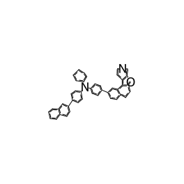 c1ccc(N(c2ccc(-c3ccc4ccccc4c3)cc2)c2ccc(-c3ccc4ccc5oc6cnccc6c5c4c3)cc2)cc1